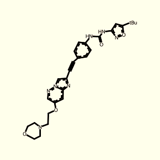 CC(C)(C)c1cc(NC(=O)Nc2ccc(C#Cc3cn4ncc(OCCN5CCOCC5)cc4n3)cc2)no1